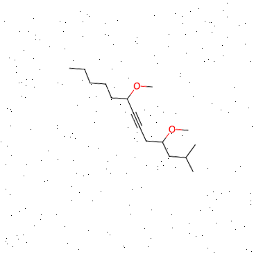 CCCCCC(C#CCC(CC(C)C)OC)OC